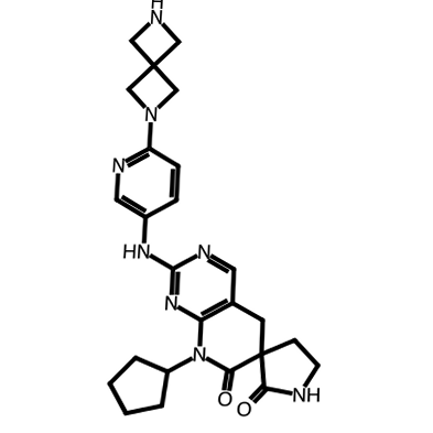 O=C1NCCC12Cc1cnc(Nc3ccc(N4CC5(CNC5)C4)nc3)nc1N(C1CCCC1)C2=O